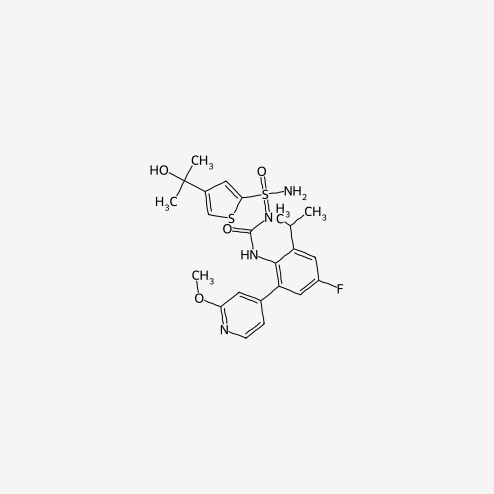 COc1cc(-c2cc(F)cc(C(C)C)c2NC(=O)N=S(N)(=O)c2cc(C(C)(C)O)cs2)ccn1